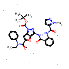 CCN(C(=O)c1cc2c(o1)c(NC(=O)c1ccccc1NC(=O)c1ccnn1C)nn2C(=O)OC(C)(C)C)c1ccccc1